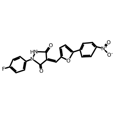 O=C1NN(c2ccc(F)cc2)C(=O)/C1=C/c1ccc(-c2ccc([N+](=O)[O-])cc2)o1